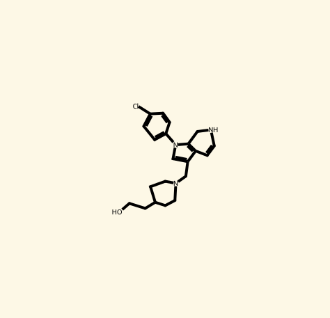 OCCC1CCN(Cc2cn(-c3ccc(Cl)cc3)c3c2C=CNC3)CC1